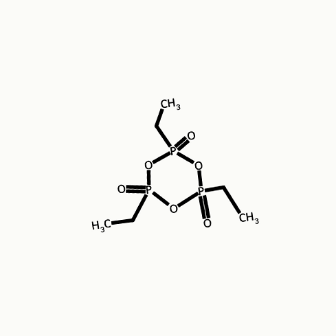 CCP1(=O)OP(=O)(CC)OP(=O)(CC)O1